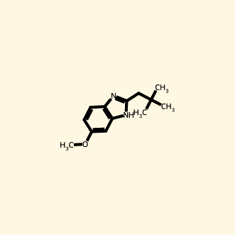 COc1ccc2nc(CC(C)(C)C)[nH]c2c1